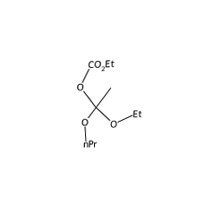 CCCOC(C)(OCC)OC(=O)OCC